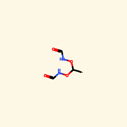 [CH2]C(ONC=O)ONC=O